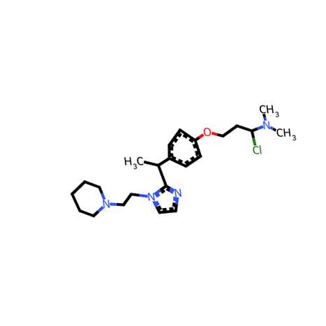 CC(c1ccc(OCCC(Cl)N(C)C)cc1)c1nccn1CCN1CCCCC1